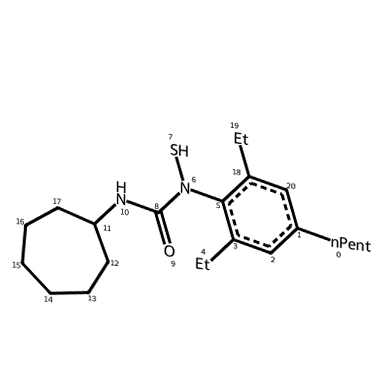 CCCCCc1cc(CC)c(N(S)C(=O)NC2CCCCCC2)c(CC)c1